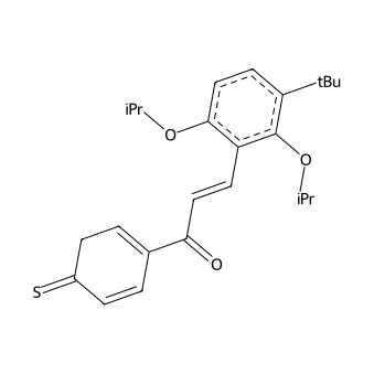 CC(C)Oc1ccc(C(C)(C)C)c(OC(C)C)c1C=CC(=O)C1=CCC(=S)C=C1